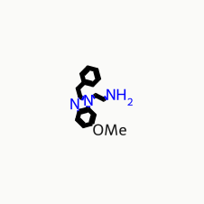 COc1ccc2nc(Cc3ccccc3)n(CCN)c2c1